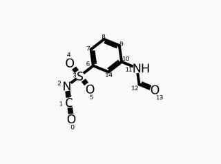 O=C=NS(=O)(=O)c1cccc(NC=O)c1